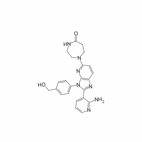 Nc1ncccc1-c1nc2ccc(N3CCNC(=O)CC3)nc2n1-c1ccc(CO)cc1